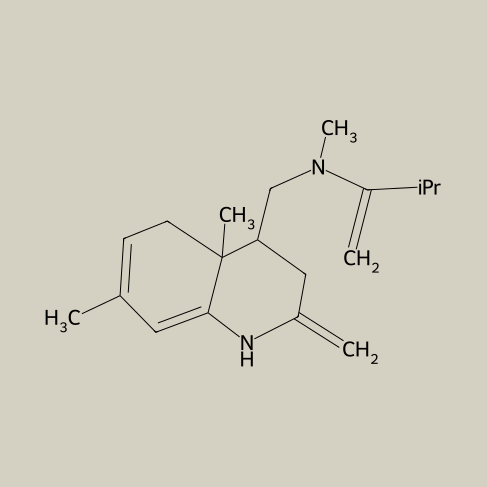 C=C1CC(CN(C)C(=C)C(C)C)C2(C)CC=C(C)C=C2N1